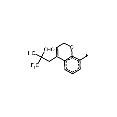 O=CC(O)(CC1=CCOc2c(F)cccc21)C(F)(F)F